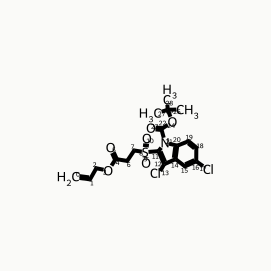 C=CCOC(=O)CCS(=O)(=O)c1c(Cl)c2cc(Cl)ccc2n1C(=O)OC(C)(C)C